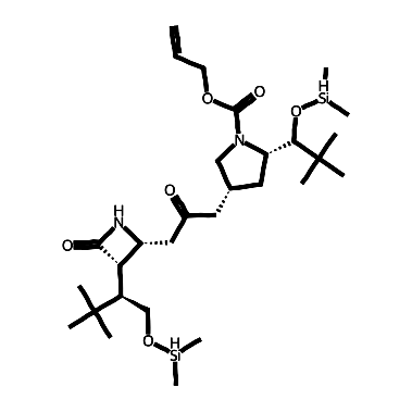 C=CCOC(=O)N1C[C@@H](CC(=O)C[C@H]2NC(=O)[C@H]2[C@@H](CO[SiH](C)C)C(C)(C)C)C[C@H]1C(O[SiH](C)C)C(C)(C)C